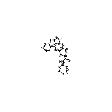 O=C(NN1CCCCCC1)c1ccc2c(c1)N=C(c1cccnc1)c1[nH]ncc1S2